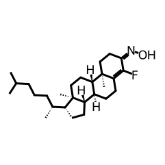 CC(C)CCC[C@@H](C)[C@H]1CC[C@H]2[C@@H]3CCC4=C(F)C(=NO)CC[C@]4(C)[C@H]3CC[C@]12C